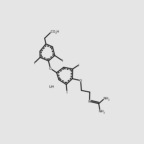 NC(N)=NCCOc1c(I)cc(Oc2c(I)cc(CC(=O)O)cc2I)cc1I.[LiH]